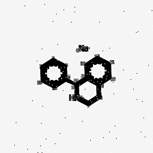 [Na].c1ccc([C@@H]2NCCc3ccccc32)cc1